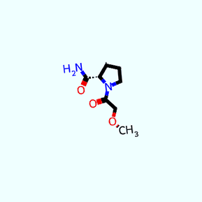 COCC(=O)N1CC[CH][C@H]1C(N)=O